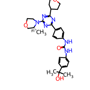 C[C@@H]1COCCN1c1nc(-c2ccc(NC(=O)Nc3ccc(C(C)(C)O)cc3)cc2)nc(C2CCOCC2)n1